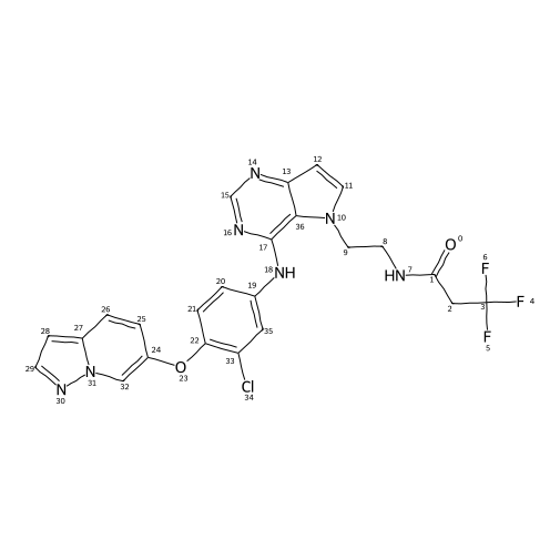 O=C(CC(F)(F)F)NCCn1ccc2ncnc(Nc3ccc(Oc4ccc5ccnn5c4)c(Cl)c3)c21